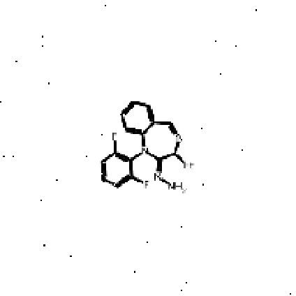 CCC1N=Cc2ccccc2N(c2c(F)cccc2F)C1=NN